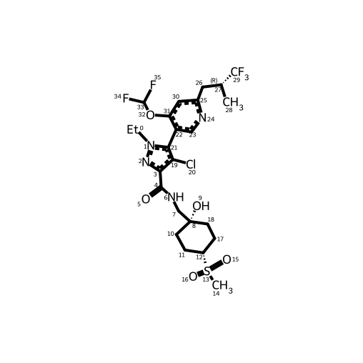 CCn1nc(C(=O)NC[C@]2(O)CC[C@@H](S(C)(=O)=O)CC2)c(Cl)c1-c1cnc(C[C@@H](C)C(F)(F)F)cc1OC(F)F